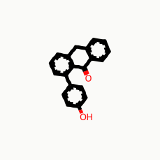 O=C1c2ccccc2Cc2cccc(-c3ccc(O)cc3)c21